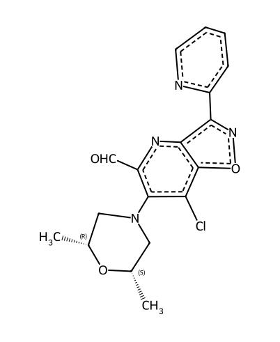 C[C@@H]1CN(c2c(C=O)nc3c(-c4ccccn4)noc3c2Cl)C[C@H](C)O1